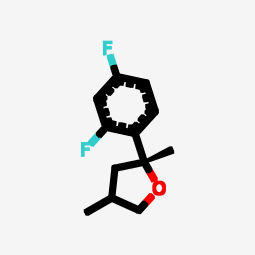 CC1CO[C@@](C)(c2ccc(F)cc2F)C1